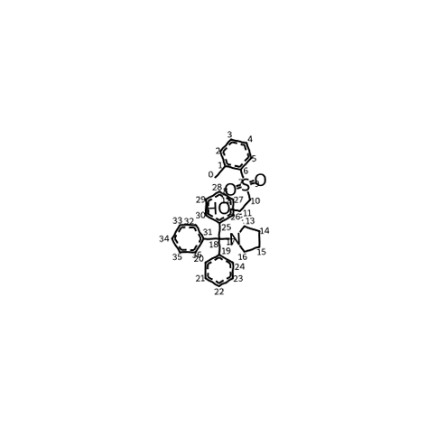 Cc1ccccc1S(=O)(=O)CC(O)[C@@H]1CCCN1C(c1ccccc1)(c1ccccc1)c1ccccc1